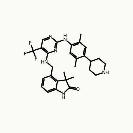 Cc1cc(C2CCNCC2)c(C)cc1Nc1ncc(C(F)(F)F)c(NCc2cccc3c2C(C)(C)C(=O)N3)n1